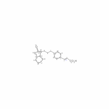 O=C(O)/C=C/c1ccc(CCCn2c(=O)oc3ccccc32)cc1